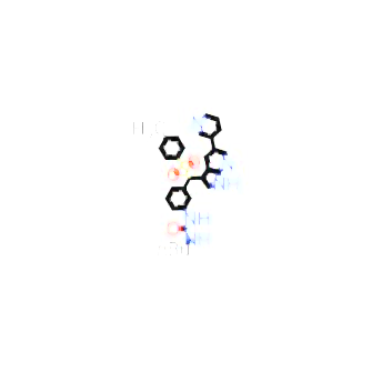 CCCCNC(=O)Nc1cccc(C(c2c[nH]c3ncc(-c4cccnc4)cc23)S(=O)(=O)c2ccc(C)cc2)c1